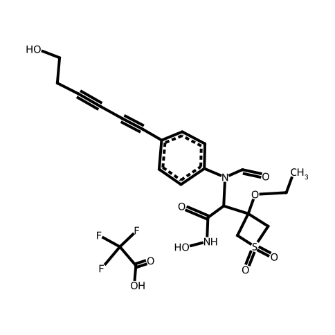 CCOC1(C(C(=O)NO)N(C=O)c2ccc(C#CC#CCCO)cc2)CS(=O)(=O)C1.O=C(O)C(F)(F)F